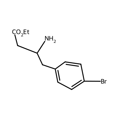 CCOC(=O)CC(N)Cc1ccc(Br)cc1